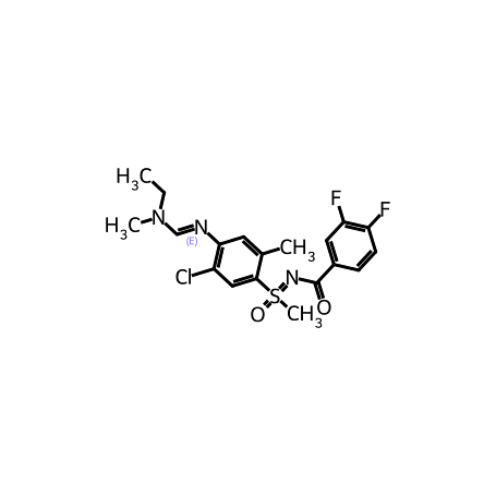 CCN(C)/C=N/c1cc(C)c(S(C)(=O)=NC(=O)c2ccc(F)c(F)c2)cc1Cl